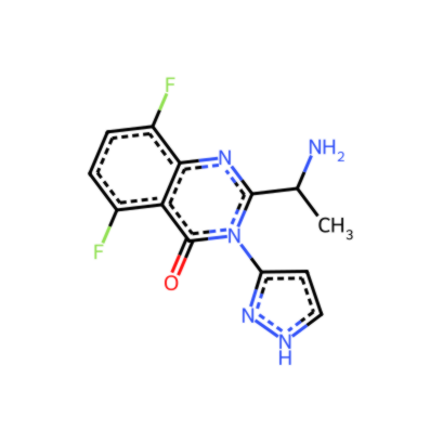 CC(N)c1nc2c(F)ccc(F)c2c(=O)n1-c1cc[nH]n1